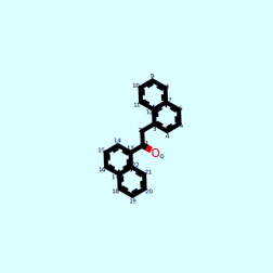 O=C(Cc1cccc2ccccc12)c1cccc2ccccc12